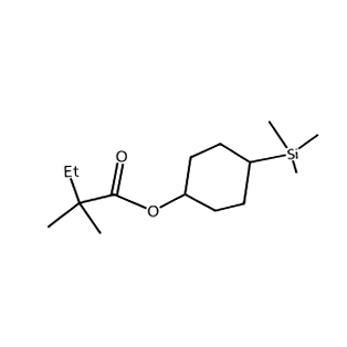 CCC(C)(C)C(=O)OC1CCC([Si](C)(C)C)CC1